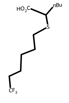 CCCCC(SCCCCCC(F)(F)F)C(=O)O